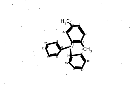 Cc1ccc(C)c(P(c2ccccc2)c2ccccc2)c1